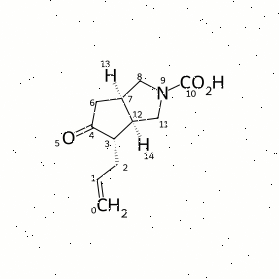 C=CC[C@@H]1C(=O)C[C@H]2CN(C(=O)O)C[C@H]21